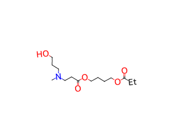 CCC(=O)OCCCCOC(=O)CCN(C)CCCO